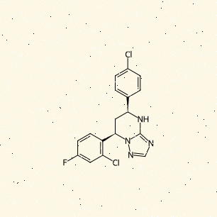 Fc1ccc([C@H]2C[C@@H](c3ccc(Cl)cc3)Nc3ncnn32)c(Cl)c1